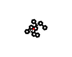 c1ccc(-c2cccc(N(c3ccccc3)c3ccc(-c4c(-n5c6ccccc6c6ccccc65)ccc5ccccc45)cc3)c2)cc1